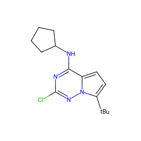 CC(C)(C)c1ccc2c(NC3CCCC3)nc(Cl)nn12